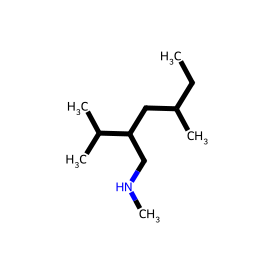 CCC(C)CC(CNC)C(C)C